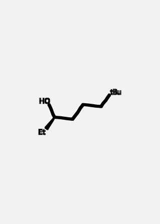 CC[C@@H](O)CCCC(C)(C)C